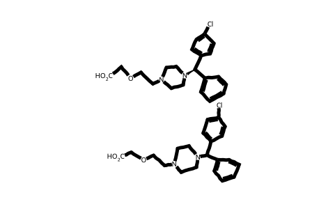 O=C(O)COCCN1CCN(C(c2ccccc2)c2ccc(Cl)cc2)CC1.O=C(O)COCCN1CCN([C@H](c2ccccc2)c2ccc(Cl)cc2)CC1